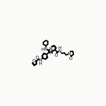 O=C(Nc1ccc(-c2nc3c(C(=O)NCCCN4CCCC4=O)cccn3c2NC2CCCCC2)cc1)c1ccco1